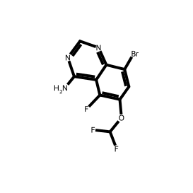 Nc1ncnc2c(Br)cc(OC(F)F)c(F)c12